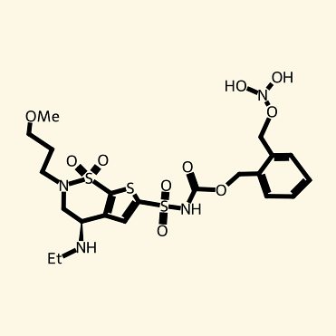 CCN[C@H]1CN(CCCOC)S(=O)(=O)c2sc(S(=O)(=O)NC(=O)OCc3ccccc3CON(O)O)cc21